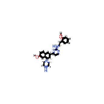 COc1ccc2cc(-c3ccnc(NCCc4ccccc4OC)n3)cc(N3CCNCC3)c2c1